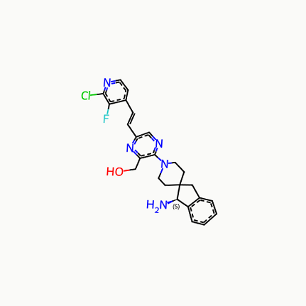 N[C@@H]1c2ccccc2CC12CCN(c1ncc(C=Cc3ccnc(Cl)c3F)nc1CO)CC2